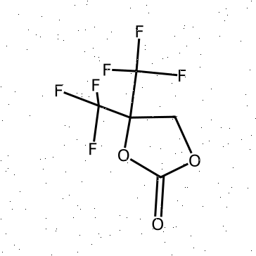 O=C1OCC(C(F)(F)F)(C(F)(F)F)O1